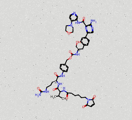 CC(C)C(NC(=O)CCCCCN1C(=O)C=CC1=O)C(=O)N[C@@H](CCCNC(N)=O)C(=O)Nc1ccc(COC(=O)N[C@@H](CO)Cc2ccc(-c3cnc(N)c(C(=O)Nc4cnccc4N4CCOCC4)n3)cc2)cc1